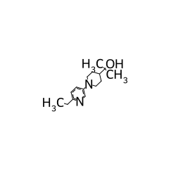 CCc1ccc(N2CCC(C(C)(C)O)CC2)cn1